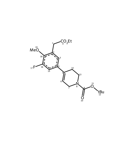 CCOC(=O)Cc1cc(C2=CCN(C(=O)OC(C)(C)C)CC2)cc(F)c1OC